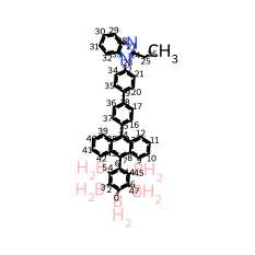 Bc1c(B)c(B)c(-c2c3ccccc3c(-c3ccc(-c4ccc(-n5c(CC)nc6ccccc65)cc4)cc3)c3ccccc23)c(B)c1B